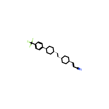 N#C/C=C/[C@H]1CC[C@H](CC[C@H]2CC[C@H](c3ccc(C(F)(F)F)cc3)CC2)CC1